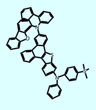 CS(C)(C)c1ccc(N(c2ccccc2)c2ccc3c(c2)sc2c4ccc(N(c5ccccc5-c5ccccc5)c5cccc6c5oc5ccccc56)cc4c4ccccc4c32)cc1